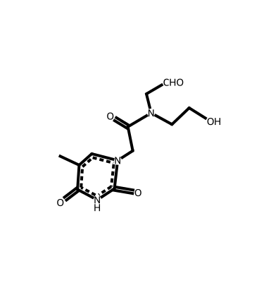 Cc1cn(CC(=O)N(CC=O)CCO)c(=O)[nH]c1=O